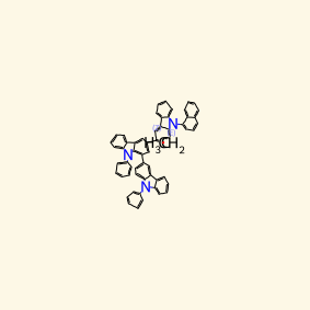 C=C(/C=c1\c(=C/C)n(-c2cccc3ccccc23)c2ccccc12)c1cc(-c2ccc3c(c2)c2ccccc2n3-c2ccccc2)c2c(c1)c1ccccc1n2-c1ccccc1